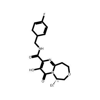 CC[C@H]1COCCc2nc(C(=O)NCC3C=CC(F)=CC3)c(O)c(=O)n21